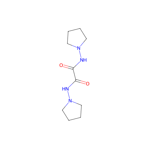 O=C(NN1CCCC1)C(=O)NN1CCCC1